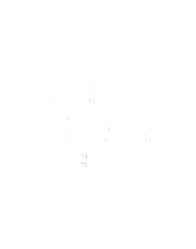 O=c1o[nH]c2ccccc2c1=O